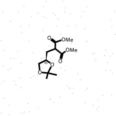 COC(=O)C(C[C@@H]1COC(C)(C)O1)C(=O)OC